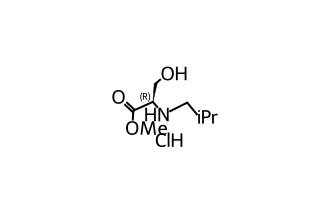 COC(=O)[C@@H](CO)NCC(C)C.Cl